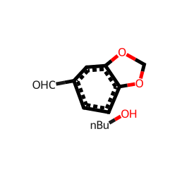 CCCCO.O=Cc1ccc2c(c1)OCO2